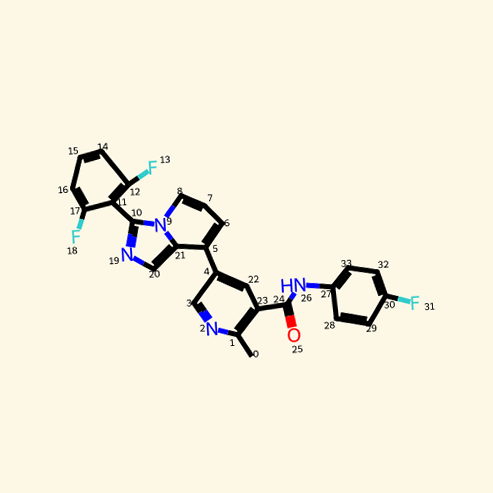 Cc1ncc(-c2cccn3c(-c4c(F)cccc4F)ncc23)cc1C(=O)Nc1ccc(F)cc1